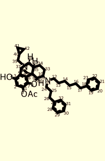 CC(=O)Oc1cc(O)c2c3c1O[C@H]1[C@@H](N(CCCCCCc4ccccc4)CCCc4ccccc4)CC[C@H]4[C@@H](C2)N(CC2CC2)CC[C@@]341